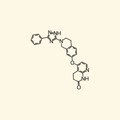 O=C1CCc2c(Oc3ccc4c(c3)CN(c3nc(-c5ccccc5)n[nH]3)CC4)ccnc2N1